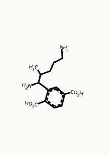 CC(CCCN)C(N)c1cc(C(=O)O)ccc1C(=O)O